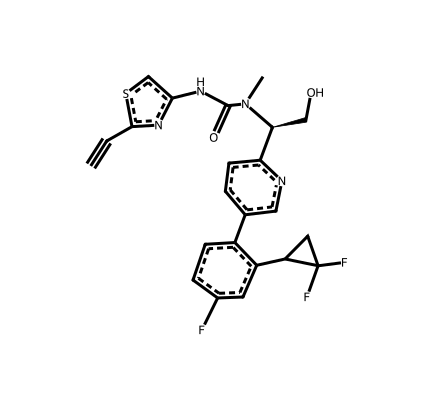 C#Cc1nc(NC(=O)N(C)[C@@H](CO)c2ccc(-c3ccc(F)cc3C3CC3(F)F)cn2)cs1